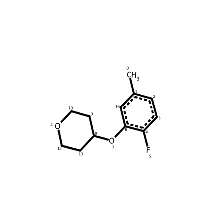 Cc1ccc(F)c(OC2CCOCC2)c1